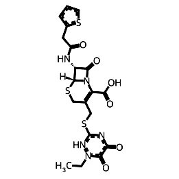 CCn1[nH]c(SCC2=C(C(=O)O)N3C(=O)[C@@H](NC(=O)Cc4cccs4)[C@H]3SC2)nc(=O)c1=O